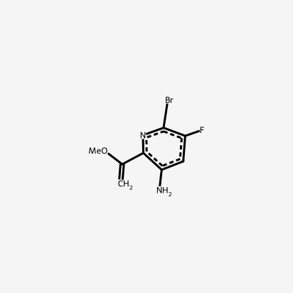 C=C(OC)c1nc(Br)c(F)cc1N